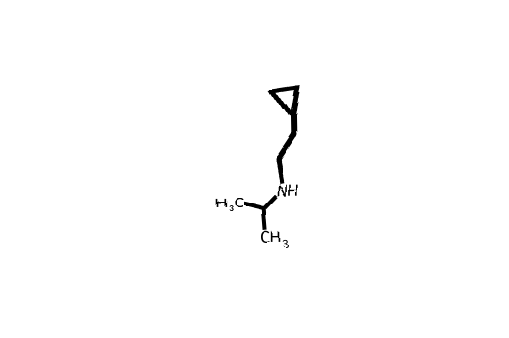 CC(C)NCCC1CC1